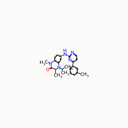 Cc1cccc(-c2ccnc(Nc3ccc4c(c3)N(C(C)C)C(C)C(=O)N4C)n2)c1